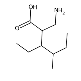 CCC(C)C(CC)C(CN)C(=O)O